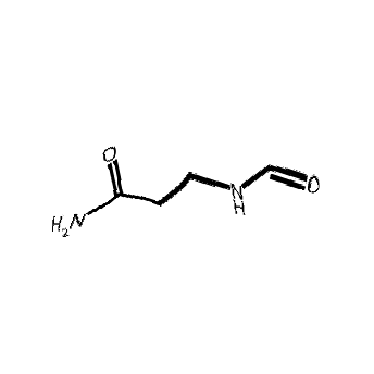 NC(=O)CCNC=O